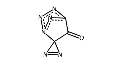 O=C1c2nnn(n2)C12N=N2